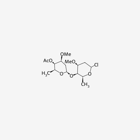 CO[C@H]1CC(Cl)O[C@@H](C)[C@H]1O[C@@H]1C[C@H](OC)[C@H](OC(C)=O)[C@H](C)O1